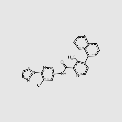 Cc1c(-c2cccc3ncccc23)ccnc1C(=O)Nc1cnc(-n2nccn2)c(Cl)c1